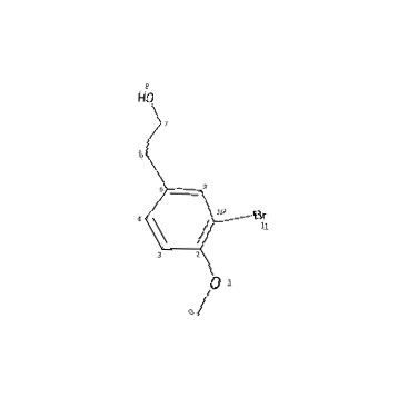 COc1ccc(CCO)cc1Br